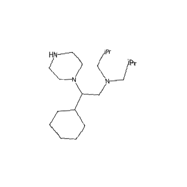 CC(C)CN(CC(C)C)CC(C1CCCCC1)N1CCNCC1